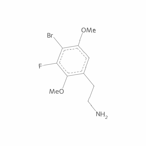 COc1cc(CCN)c(OC)c(F)c1Br